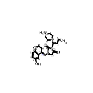 CCCC(N1CCN(C)CC1)N1C(=O)CN(/N=C2\CCOc3ccc(O)cc32)C1=O